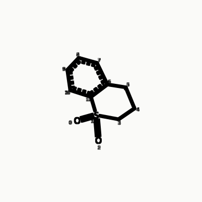 O=S1(=O)CC[C]c2ccccc21